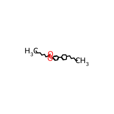 CCCCCCC(=O)Oc1ccc(C2=CCC(CCCCC)CC2)cc1